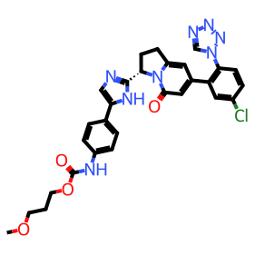 COCCCOC(=O)Nc1ccc(-c2cnc([C@@H]3CCc4cc(-c5cc(Cl)ccc5-n5cnnn5)cc(=O)n43)[nH]2)cc1